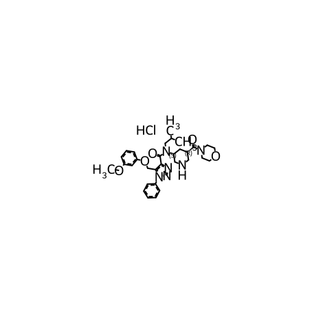 COc1cccc(OCc2c(C(=O)N(CC(C)C)[C@@H]3CNC[C@H](C(=O)N4CCOCC4)C3)nnn2-c2ccccc2)c1.Cl